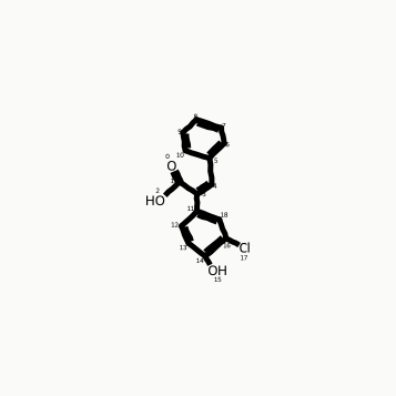 O=C(O)C(=Cc1ccccc1)c1ccc(O)c(Cl)c1